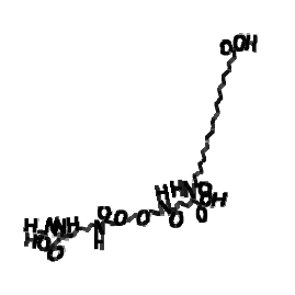 NN[C@@H](CCCCNC(=O)COCCOCCNC(=O)CCC(NC(=O)CCCCCCCCCCCCCCCCCCC(=O)O)C(=O)O)C(=O)O